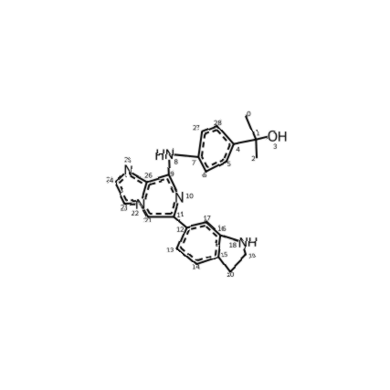 CC(C)(O)c1ccc(Nc2nc(-c3ccc4c(c3)NCC4)cn3ccnc23)cc1